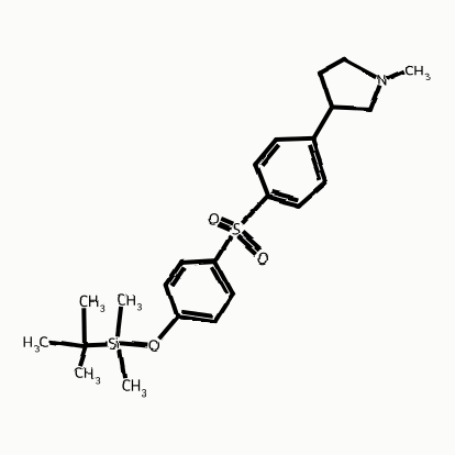 CN1CCC(c2ccc(S(=O)(=O)c3ccc(O[Si](C)(C)C(C)(C)C)cc3)cc2)C1